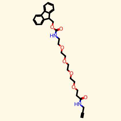 C#CCNC(=O)CCOCCOCCOCCOCCNC(=O)OCC1c2ccccc2-c2ccccc21